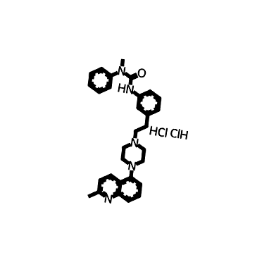 Cc1ccc2c(N3CCN(CCc4cccc(NC(=O)N(C)c5ccccc5)c4)CC3)cccc2n1.Cl.Cl